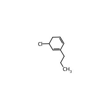 CCCC1=CC(Cl)CC=C1